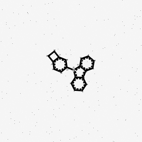 c1ccc2c(c1)c1ccccc1n2-c1ccc2c(c1)CC2